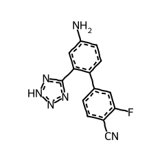 N#Cc1ccc(-c2ccc(N)cc2-c2nn[nH]n2)cc1F